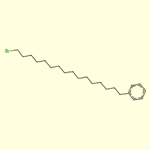 BrCCCCCCCCCCCCCCCCc1ccccc1